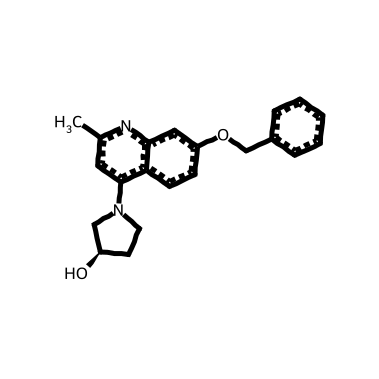 Cc1cc(N2CC[C@@H](O)C2)c2ccc(OCc3ccccc3)cc2n1